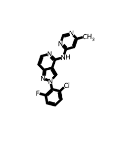 Cc1cc(Nc2nccc3nn(-c4c(F)cccc4Cl)cc23)ncn1